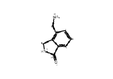 NCc1cccc2c1CNC2=O